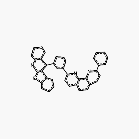 c1ccc(-c2ccc3ccc4ccc(-c5cccc(-c6c7ccccc7nc7sc8ccccc8c67)c5)nc4c3n2)cc1